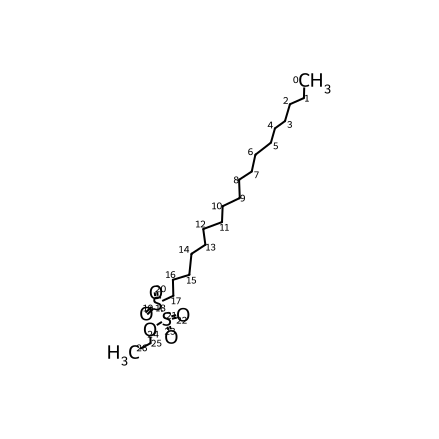 CCCCCCCCCCCCCCCCCCS(=O)(=O)S(=O)(=O)OCC